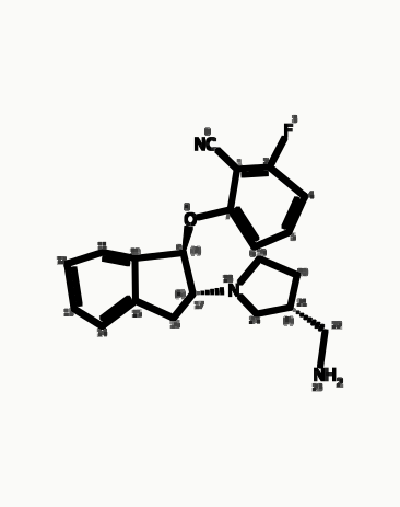 N#Cc1c(F)cccc1O[C@@H]1c2ccccc2C[C@H]1N1CC[C@H](CN)C1